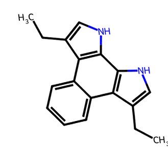 CCc1c[nH]c2c3[nH]cc(CC)c3c3ccccc3c12